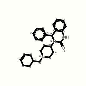 O=C1Nc2ccccc2C(c2ccccc2)N1C1CCN(CC2CC=CCC2)CC1